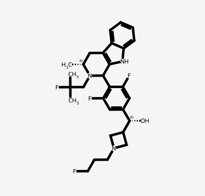 C[C@@H]1Cc2c([nH]c3ccccc23)C(c2c(F)cc([C@H](O)C3CN(CCCF)C3)cc2F)N1CC(C)(C)F